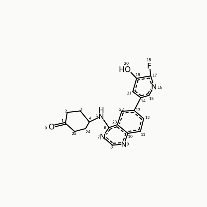 O=C1CCC(Nc2ncnc3ccc(-c4cnc(F)c(O)c4)cc23)CC1